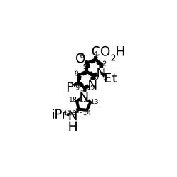 CCn1cc(C(=O)O)c(=O)c2cc(F)c(N3CCC(NC(C)C)C3)nc21